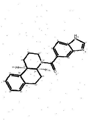 O=C(c1ccc2[nH]cnc2c1)N1CCC[C@@H]2c3ccccc3CC[C@@H]21